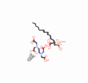 CCCCCCCCCCCCC(CC(=O)[O-])(C(=O)[O-])S(=O)(=O)O.O=C([O-])CN(CCN(CC(=O)O)CC(=O)O)CC(=O)[O-].[Na+].[Na+].[Na+].[Na+]